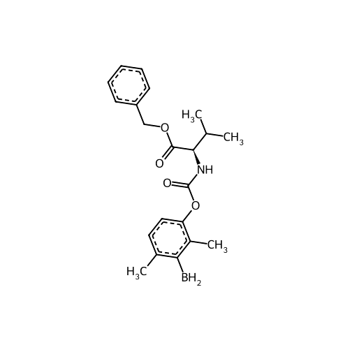 Bc1c(C)ccc(OC(=O)N[C@@H](C(=O)OCc2ccccc2)C(C)C)c1C